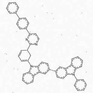 C1=CC(c2nccc(-c3ccc(-c4ccccc4)cc3)n2)CC(n2c3ccccc3c3cc(-c4ccc5c(c4)c4ccccc4n5-c4ccccc4)ccc32)=C1